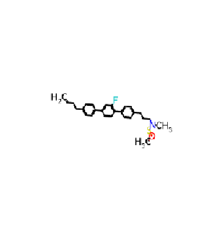 C=CCCc1ccc(-c2ccc(-c3ccc(CCCN(C)SOC)cc3)c(F)c2)cc1